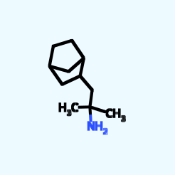 CC(C)(N)CC1CC2CCC1C2